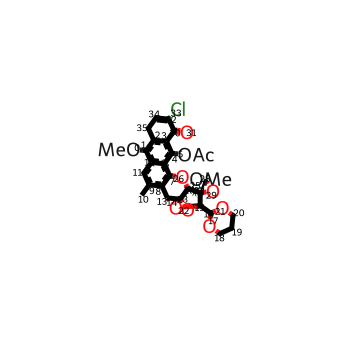 COc1c2c(c(OC(C)=O)c3c4c(c(C)cc13)C1OC3(C5OCCCO5)OC1[C@@](OC)(O4)[C@@]31CO1)C(=O)C(Cl)=CC2